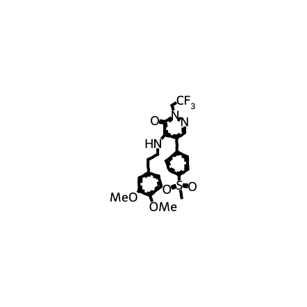 COc1ccc(CCNc2c(-c3ccc(S(C)(=O)=O)cc3)cnn(CC(F)(F)F)c2=O)cc1OC